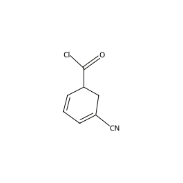 N#CC1=CC=CC(C(=O)Cl)C1